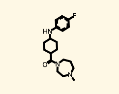 CN1CCCN(C(=O)C2CCC(Nc3ccc(F)cc3)CC2)CC1